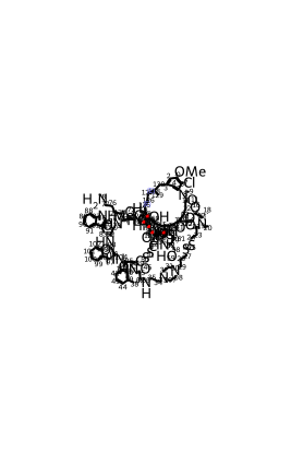 COc1cc2cc(c1Cl)N(C)C(=O)C[C@H](OC(=O)[C@H](C)N(C)C(=O)CCSSCCCN1CCN(CCN[C@H](Cc3ccccc3)C(=O)N[C@H]3CSSC[C@@H](C(=O)N[C@H](CO)[C@@H](C)O)NC(=O)[C@H]([C@@H](C)O)NC(=O)[C@H](CCCCN)NC(=O)[C@@H](Cc4c[nH]c5ccccc45)NC(=O)[C@H](Cc4ccccc4)NC3=O)CC1)[C@]1(C)O[C@H]1[C@H](C)[C@@H]1C[C@@](O)(NC(=O)O1)[C@H](OC)/C=C/C=C(\C)C2